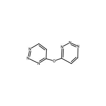 c1cc(Oc2ccnnn2)nnn1